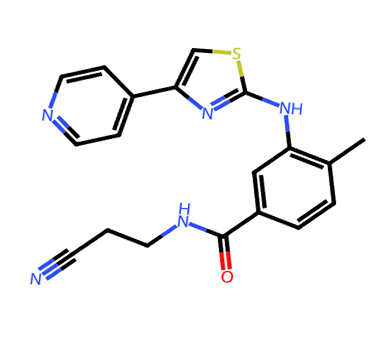 Cc1ccc(C(=O)NCCC#N)cc1Nc1nc(-c2ccncc2)cs1